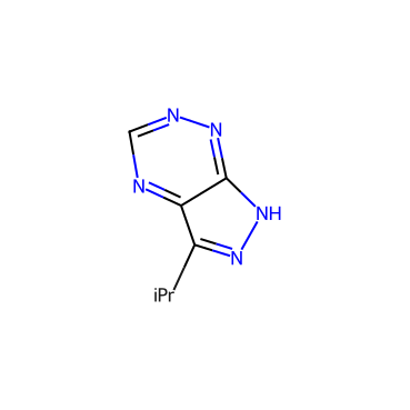 CC(C)c1n[nH]c2nncnc12